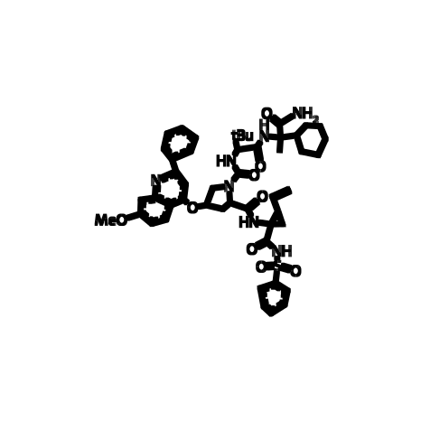 C=CC1CC1(NC(=O)C1CC(Oc2cc(-c3ccccc3)nc3cc(OC)ccc23)CN1C(=O)NC(C(=O)NC(C)(C(N)=O)C1CCCCC1)C(C)(C)C)C(=O)NS(=O)(=O)c1ccccc1